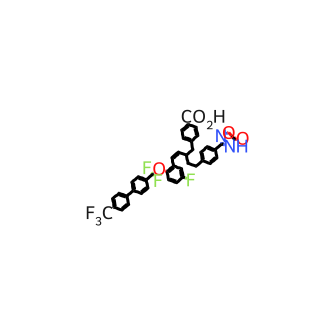 O=C(O)c1ccc(CC(/C=C\c2cc(F)ccc2OC(F)(F)c2ccc(-c3ccc(C(F)(F)F)cc3)cc2)CCc2ccc(-c3noc(=O)[nH]3)cc2)cc1